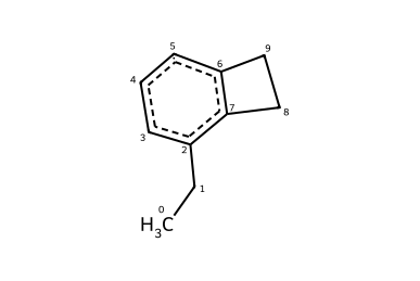 CCc1cc[c]c2c1CC2